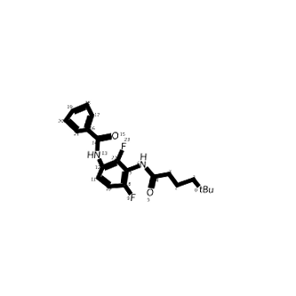 CC(C)(C)CCCC(=O)Nc1c(F)ccc(NC(=O)c2ccccc2)c1F